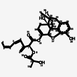 C=C(/C=C\C=C/C)[C@H](OC(=O)[C@H](C)O)C(=O)OC1=CC[C@@]2(O)[C@H]3Cc4ccc(O)c5c4C2(CCN3C)C1O5